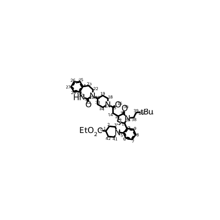 CCOC(=O)C1CCN(c2ccccc2C2SC(CC(=O)N3CCC(N4CCc5ccccc5NC4=O)CC3)C(=O)N2CCC(C)(C)C)CC1